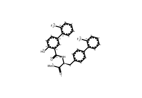 COC(=O)[C@H](Cc1ccc(-c2ccccc2C(F)(F)F)cc1)NC(=O)c1cc(-c2ccccc2C(F)(F)F)ccc1O